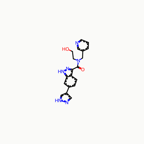 O=C(c1n[nH]c2cc(-c3cn[nH]c3)ccc12)N(CCO)Cc1cccnc1